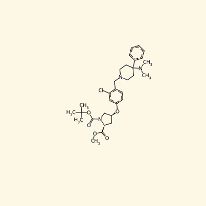 COC(=O)[C@@H]1C[C@H](Oc2ccc(CN3CCC(c4ccccc4)(N(C)C)CC3)c(Cl)c2)CN1C(=O)OC(C)(C)C